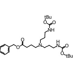 CC(C)(C)OC(=O)NCCCN(CCCNC(=O)OC(C)(C)C)CCCC(=O)OCc1ccccc1